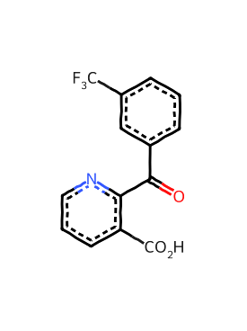 O=C(O)c1cccnc1C(=O)c1cccc(C(F)(F)F)c1